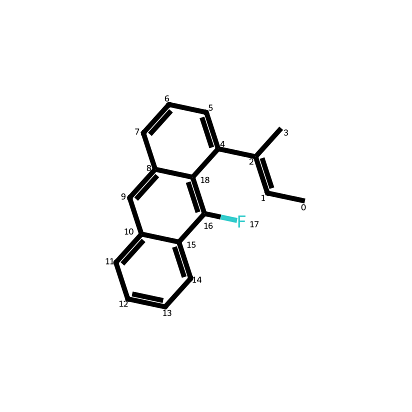 CC=C(C)c1cccc2cc3ccccc3c(F)c12